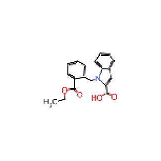 CCOC(=O)c1ccccc1Cn1c(C(=O)O)cc2ccccc21